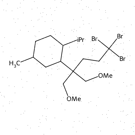 COCC(CCC(Br)(Br)Br)(COC)C1CC(C)CCC1C(C)C